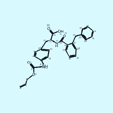 C=CCOC(=O)Nc1ccc(C[C@H](NC(=O)c2ccccc2Cc2ccccc2)C(=O)O)cc1